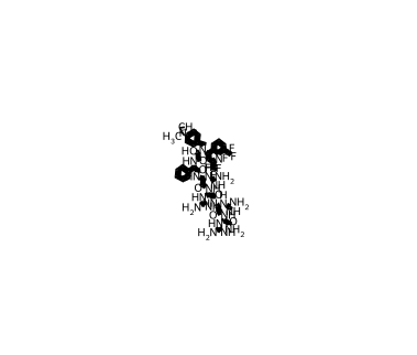 CN(C)c1ccc(CN(c2cc(C(F)(F)F)nc3c(C(F)(F)F)cccc23)C(O)C(=O)NC(C(=O)NC(NC(=N)N)C(=O)NC(NC(=N)N)C(=O)NC(NC(=N)N)C(=O)NC(NC(=N)N)C(N)=O)c2ccccc2)cc1